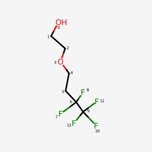 OCCOCCC(F)(F)C(F)(F)F